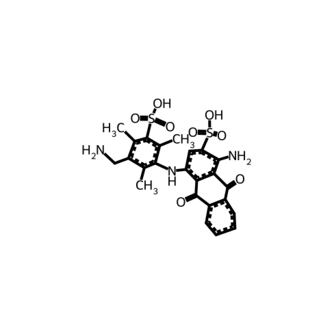 Cc1c(CN)c(C)c(S(=O)(=O)O)c(C)c1Nc1cc(S(=O)(=O)O)c(N)c2c1C(=O)c1ccccc1C2=O